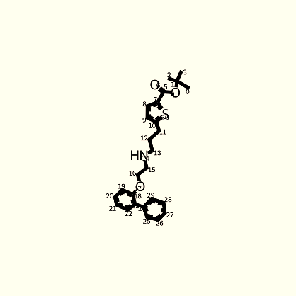 CC(C)(C)OC(=O)c1ccc(CCCNCCOc2ccccc2-c2ccccc2)s1